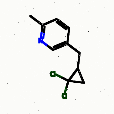 Cc1ccc(CC2CC2(Cl)Cl)cn1